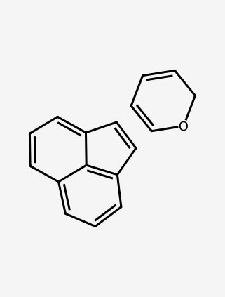 C1=CCOC=C1.C1=Cc2cccc3cccc1c23